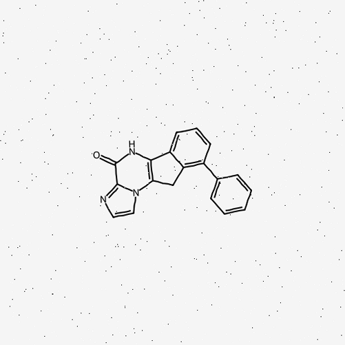 O=c1[nH]c2c(n3ccnc13)Cc1c(-c3ccccc3)cccc1-2